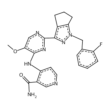 COc1cnc(-c2nn(Cc3ccccc3F)c3c2CCC3)nc1Nc1ccncc1C(N)=O